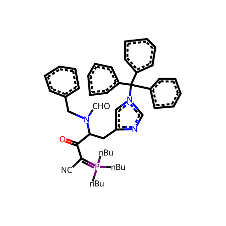 CCCCP(CCCC)(CCCC)=C(C#N)C(=O)C(Cc1cn(C(c2ccccc2)(c2ccccc2)c2ccccc2)cn1)N(C=O)Cc1ccccc1